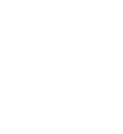 CCN(c1cccc(CNc2ccc(F)cc2)c1)C1CC1.Cl.Cl